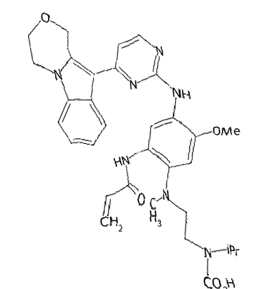 C=CC(=O)Nc1cc(Nc2nccc(-c3c4n(c5ccccc35)CCOC4)n2)c(OC)cc1N(C)CCN(C(=O)O)C(C)C